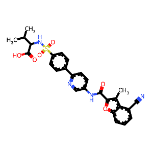 Cc1c(C(=O)Nc2ccc(-c3ccc(S(=O)(=O)NC(C(=O)O)C(C)C)cc3)nc2)oc2cccc(C#N)c12